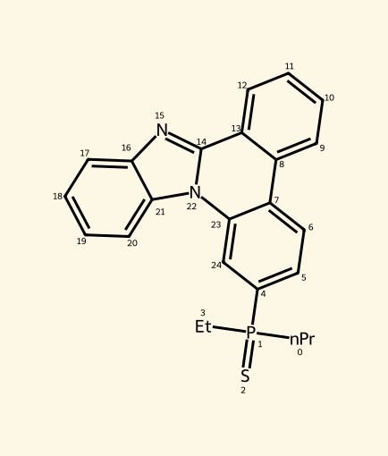 CCCP(=S)(CC)c1ccc2c3ccccc3c3nc4ccccc4n3c2c1